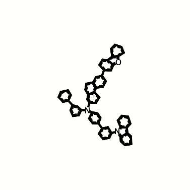 c1ccc(-c2cccc(N(c3ccc(-c4cccc(-n5c6ccccc6c6ccccc65)c4)cc3)c3ccc4c(ccc5cc(-c6ccc7c(c6)oc6ccccc67)ccc54)c3)c2)cc1